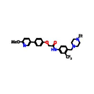 CCN1CCN(Cc2ccc(NC(=O)COc3ccc(-c4ccc(OC)nc4)cc3)cc2C(F)(F)F)CC1